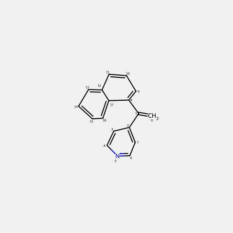 C=C(c1ccncc1)c1cccc2ccccc12